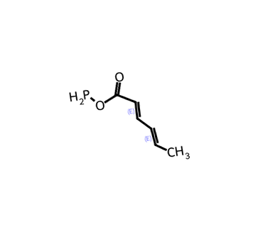 C/C=C/C=C/C(=O)OP